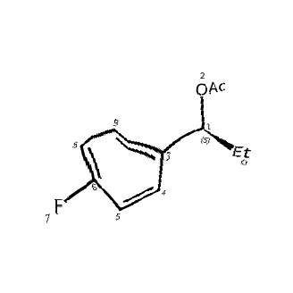 CC[C@H](OC(C)=O)c1ccc(F)cc1